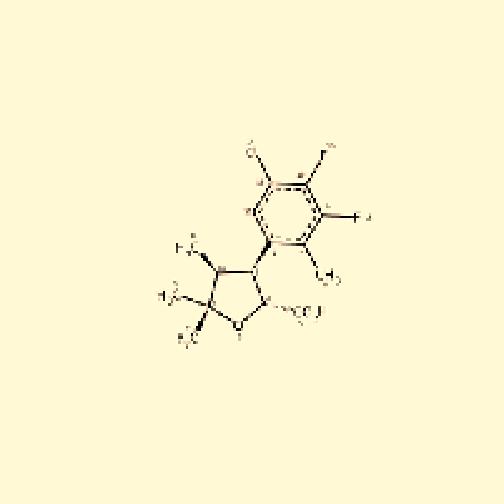 Cc1c([C@H]2[C@H](C(=O)O)O[C@@](C)(C(F)(F)F)[C@H]2C)cc(Cl)c(F)c1F